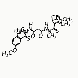 COc1ccc(C)c(C(=S)N(C)NC(=O)CC(=O)NN(C)C(=S)C2=C(C)C=C3CC2C3OC)c1